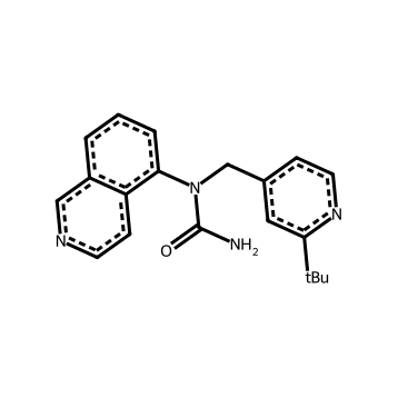 CC(C)(C)c1cc(CN(C(N)=O)c2cccc3cnccc23)ccn1